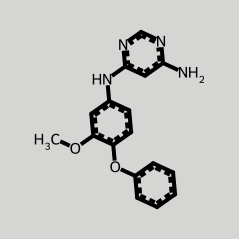 COc1cc(Nc2cc(N)ncn2)ccc1Oc1ccccc1